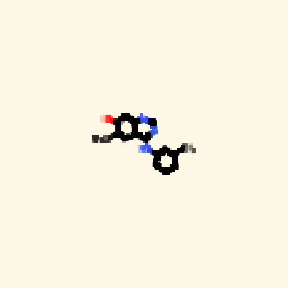 COc1cc2c(Nc3cccc(C)c3)ncnc2cc1O